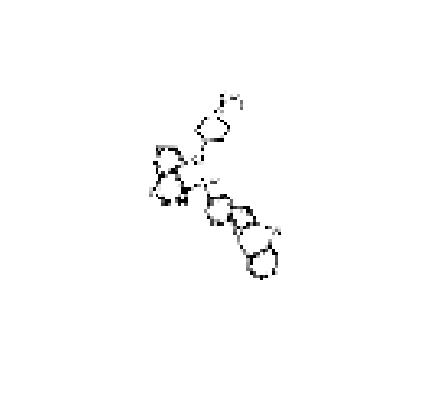 CN1CCC(Oc2cccc3ncnc(Nc4ccc5c(ccn5Cc5ccccc5C#N)c4)c23)CC1